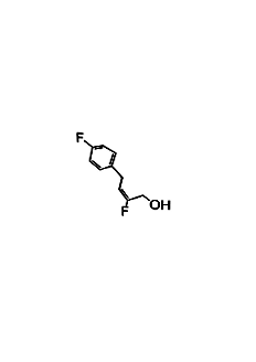 OC/C(F)=C\Cc1ccc(F)cc1